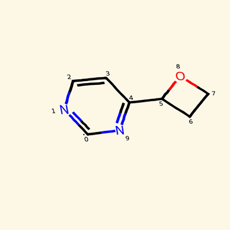 [c]1nccc(C2CCO2)n1